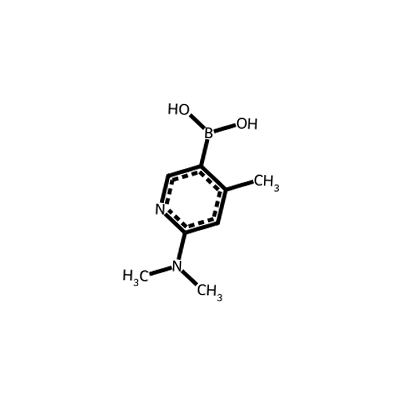 Cc1cc(N(C)C)ncc1B(O)O